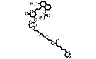 CCC(C)C(=O)OC1CCC=C2C=CC(C)C(CCC3CC(OC(=O)OCCOCCOCCOCCOC(=O)CCCCC4CCSS4)CC(=O)O3)C21